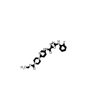 CCOC(=O)N1CCN(c2ccc(NC(=O)c3nnc(Nc4ccccc4F)o3)cn2)CC1